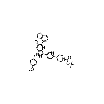 COc1ccc(Cn2nc(-c3ccc(C4CCN(C(=O)OC(C)(C)C)CC4)nc3)c3nc(-c4cccc5c4CCC5)c(OC)cc32)cc1